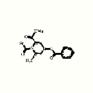 COC(=O)[C@H]1CN(OC(=O)c2ccccc2)C[C@@H](C)N1C(=O)C(C)C